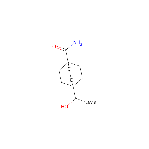 COC(O)C12CCC(C(N)=O)(CC1)CC2